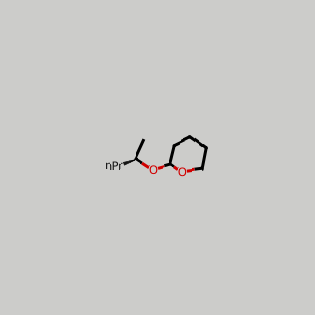 CCC[C@@H](C)OC1CCCCO1